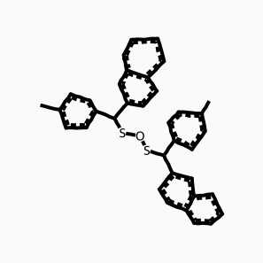 Cc1ccc(C(SOSC(c2ccc(C)cc2)c2ccc3ccccc3c2)c2ccc3ccccc3c2)cc1